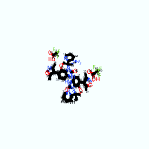 CC(=O)NCC1(c2ccccn2)COc2c(-c3c(C)noc3C)ccc3[nH]c(=O)n1c23.Cc1noc(C)c1-c1ccc2[nH]c(=O)n3c2c1OCC3(CN)c1ccccn1.O=C(O)C(F)(F)F.O=C(O)C(F)(F)F